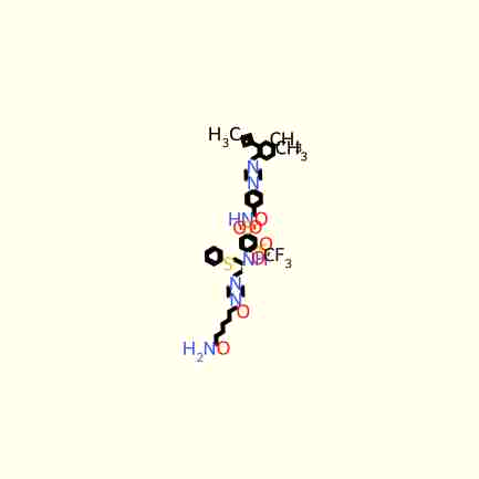 CC1(C)CCC(CN2CCN(c3ccc(C(=O)NS(=O)(=O)c4ccc(N[C@H](CCN5CCN(C(=O)CCCCCC(N)=O)CC5)CSc5ccccc5)c(S(=O)(=O)C(F)(F)F)c4)cc3)CC2)=C(C23CC(C)(C2)C3)C1